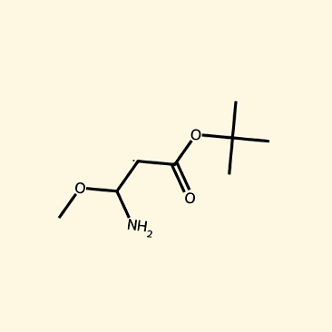 COC(N)[CH]C(=O)OC(C)(C)C